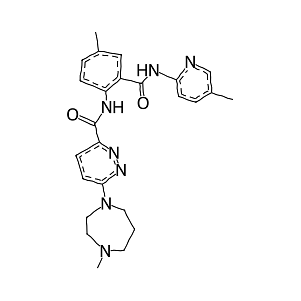 Cc1ccc(NC(=O)c2cc(C)ccc2NC(=O)c2ccc(N3CCCN(C)CC3)nn2)nc1